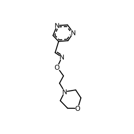 C(=NOCCN1CCOCC1)c1cncnc1